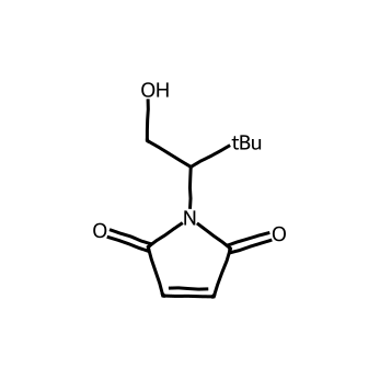 CC(C)(C)C(CO)N1C(=O)C=CC1=O